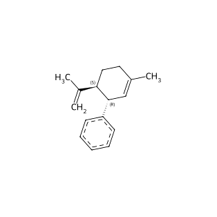 C=C(C)[C@H]1CCC(C)=C[C@@H]1c1ccccc1